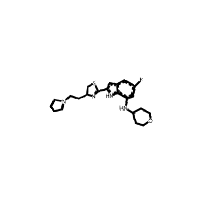 Fc1cc(NC2CCOCC2)c2[nH]c(C3=NC(CCN4CCCC4)CS3)cc2c1